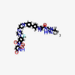 Cc1cc(-c2ccc(CN3CCC(CN4CCN(c5cc6c(cc5F)C(=O)N(C5CCC(=O)NC5=O)C6=O)CC4)CC3)cc2)ccc1-n1cc(C(=O)NCc2nc(C(C)(C)C(F)(F)F)n[nH]2)cn1